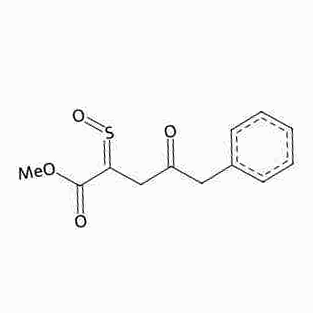 COC(=O)C(CC(=O)Cc1ccccc1)=S=O